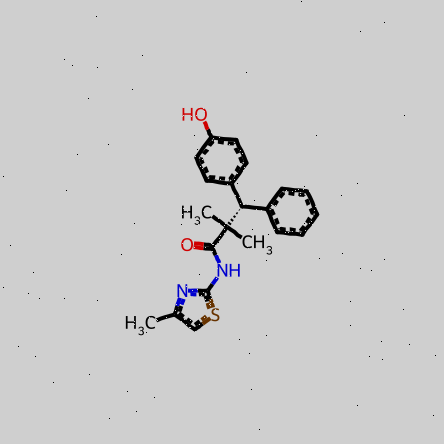 Cc1csc(NC(=O)C(C)(C)[C@@H](c2ccccc2)c2ccc(O)cc2)n1